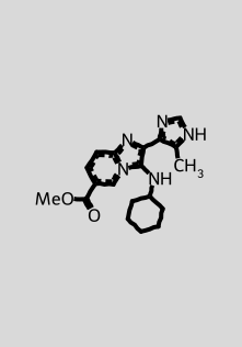 COC(=O)c1ccc2nc(-c3nc[nH]c3C)c(NC3CCCCC3)n2c1